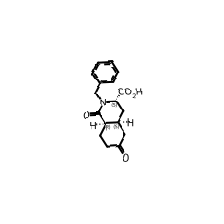 O=C1CC[C@H]2C(=O)N(Cc3ccccc3)[C@H](C(=O)O)C[C@H]2C1